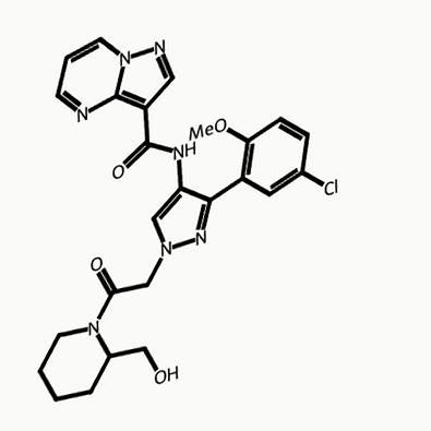 COc1ccc(Cl)cc1-c1nn(CC(=O)N2CCCCC2CO)cc1NC(=O)c1cnn2cccnc12